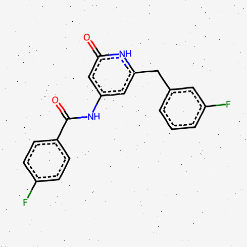 O=C(Nc1cc(Cc2cccc(F)c2)[nH]c(=O)c1)c1ccc(F)cc1